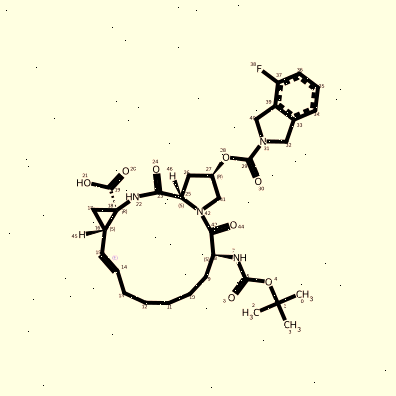 CC(C)(C)OC(=O)N[C@H]1CCCCC/C=C/[C@@H]2C[C@@]2(C(=O)O)NC(=O)[C@@H]2C[C@@H](OC(=O)N3Cc4cccc(F)c4C3)CN2C1=O